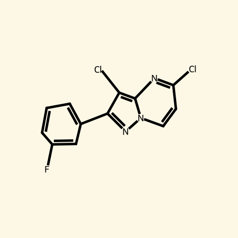 Fc1cccc(-c2nn3ccc(Cl)nc3c2Cl)c1